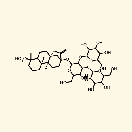 C=C1C[C@@]23CCC4[C@](C)(C(=O)O)CCC[C@@]4(C)[C@@H]2CCC1(OC1OC(CO)C(O)C(OC2OC(CO)C(O)C(O)C2O)C1OC1OC(CO)C(O)C(O)C1O)C3